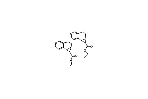 CCOC(=O)C1C2CCc3ccccc3C21.CCOC(=O)C1C2CCc3ccccc3C21